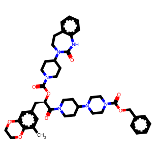 Cc1cc(C[C@@H](OC(=O)N2CCC(N3CCc4ccccc4NC3=O)CC2)C(=O)N2CCC(N3CCN(C(=O)OCc4ccccc4)CC3)CC2)cc2c1OCCO2